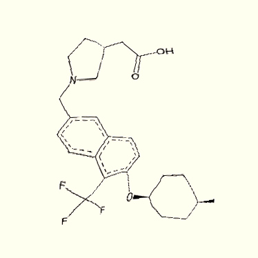 C[C@H]1CC[C@@H](Oc2ccc3cc(CN4CCC(CC(=O)O)C4)ccc3c2C(F)(F)F)CC1